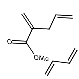 C=CC=C.C=CCC(=C)C(=O)OC